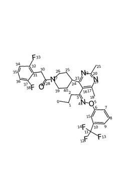 CCC/C(=N/Oc1cccc(C(F)(F)F)c1)c1c(C)nc(C)nc1C1CCN(C(=O)Cc2c(F)cccc2F)CC1